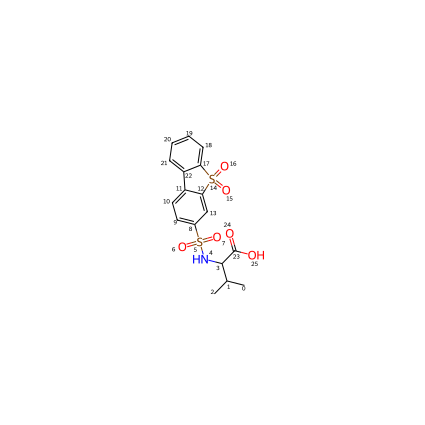 CC(C)C(NS(=O)(=O)c1ccc2c(c1)S(=O)(=O)c1ccccc1-2)C(=O)O